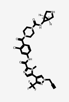 C#CCn1cc(-c2cnc(C(=O)Nc3ccc(C(=O)N4CCN(C(=O)NC5[C@H]6CNC[C@@H]56)CC4)c(Cl)c3)n2C)c(C(F)(F)F)n1